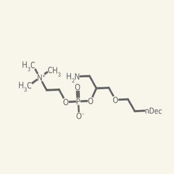 CCCCCCCCCCCCOCC(CN)OP(=O)([O-])OCC[N+](C)(C)C